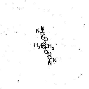 C[Si](C)(OCc1cccc(Oc2ccc(C#N)c(C#N)c2)c1)OCc1cccc(Oc2ccc(C#N)c(C#N)c2)c1